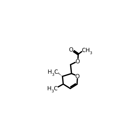 CC(=O)OCC1OC=CC(C)[C@@H]1C